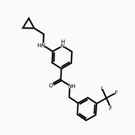 O=C(NCc1cccc(C(F)(F)I)c1)C1=CCNC(NCC2CC2)=C1